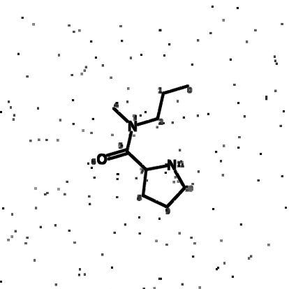 CCCN(C)C(=O)C1CCC[N]1